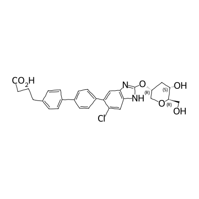 O=C(O)CCCc1ccc(-c2ccc(-c3cc4nc(O[C@H]5CO[C@H](CO)[C@@H](O)C5)[nH]c4cc3Cl)cc2)cc1